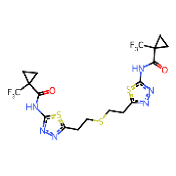 O=C(Nc1nnc(CCSCCc2nnc(NC(=O)C3(C(F)(F)F)CC3)s2)s1)C1(C(F)(F)F)CC1